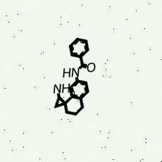 NC1CC12CCCc1ccc(NC(=O)c3ccccc3)cc12